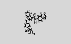 CS(=O)(=O)c1ccc(Cn2nc(C(=O)Nc3ccc4ncccc4c3)c3ccccc32)cc1